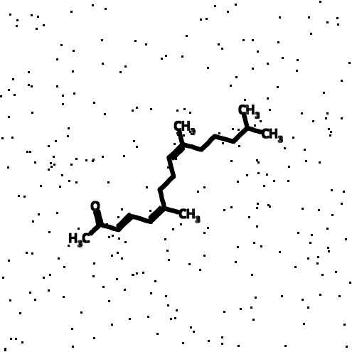 CC(=O)C=CC=C(C)CCC=C(C)CCCC(C)C